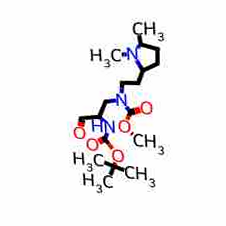 COC(=O)N(CCC1CCC(C)N1C)CC(C=O)NC(=O)OC(C)(C)C